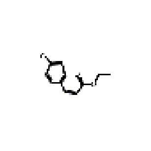 CCOC(=O)/C=C\c1ccc(Cl)cc1